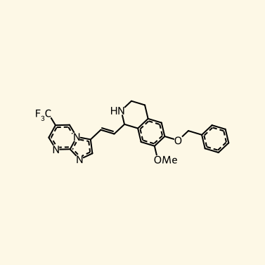 COc1cc2c(cc1OCc1ccccc1)CCNC2/C=C/c1cnc2ncc(C(F)(F)F)cn12